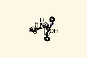 CNC(=O)[C@@H](CCCNC(=O)OC(C)(C)C)NC(=O)C(C/C=C/c1ccccc1)[C@H](O)COCc1ccccc1